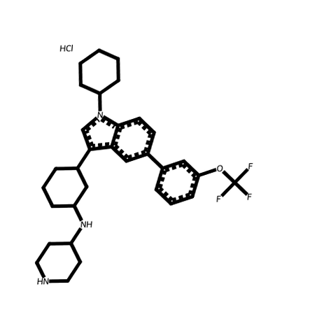 Cl.FC(F)(F)Oc1cccc(-c2ccc3c(c2)c(C2CCCC(NC4CCNCC4)C2)cn3C2CCCCC2)c1